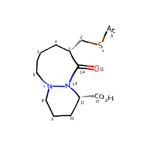 CC(=O)SC[C@H]1CCCN2CCC[C@@H](C(=O)O)N2C1=O